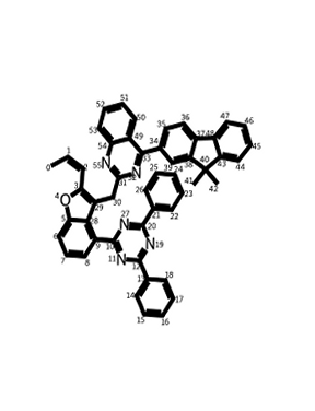 C/C=C\c1oc2cccc(-c3nc(-c4ccccc4)nc(-c4ccccc4)n3)c2c1Cc1nc(-c2ccc3c(c2)C(C)(C)c2ccccc2-3)c2ccccc2n1